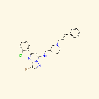 Clc1ccccc1-c1cc(NCC2CCCN(C/C=C/c3ccccc3)C2)n2ncc(Br)c2n1